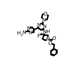 Nc1ncc(-c2cc(NC3(CF)CCN(C(=O)OCc4ccccc4)C3)nc(N3CCOCC3)n2)cn1